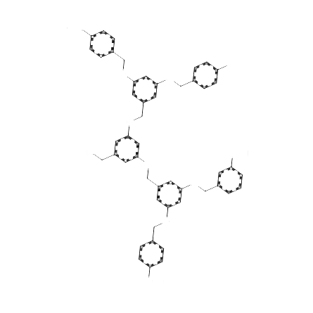 O=S(=O)(O)c1ccc(COc2cc(COc3cc(CS)cc(OCc4cc(OCc5ccc(S(=O)(=O)O)cc5)cc(OCc5cccc(S(=O)(=O)O)c5)c4)c3)cc(OCc3ccc(S(=O)(=O)O)cc3)c2)cc1